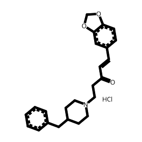 Cl.O=C(C=Cc1ccc2c(c1)OCO2)CCN1CCC(Cc2ccccc2)CC1